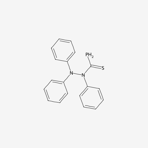 PC(=S)N(c1ccccc1)N(c1ccccc1)c1ccccc1